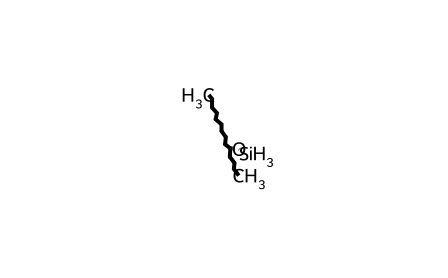 CCCCCCCCCC(CCCC)O[SiH3]